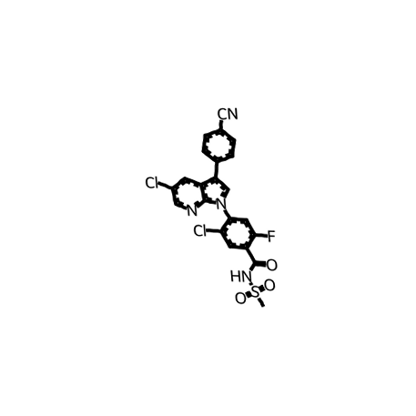 CS(=O)(=O)NC(=O)c1cc(Cl)c(-n2cc(-c3ccc(C#N)cc3)c3cc(Cl)cnc32)cc1F